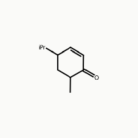 CC1CC(C(C)C)C=CC1=O